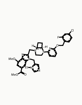 CCn1cncc1Cn1c(CN2CCN(c3cccc(OCc4ccc(Cl)cc4F)n3)[C@@H]3CC[C@H]32)nc2c(OC)cc(C(=O)OC)cc21